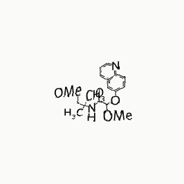 COCC(C)(C)NC(=O)C(OC)Oc1ccc2ncccc2c1